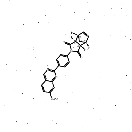 COc1ccc2cnc(-c3ccc(N4C(=O)[C@@H]5[C@H](C4=O)[C@@H]4C=C[C@H]5C4)cc3)nc2c1